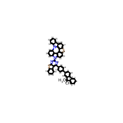 CC1(C)c2ccccc2-c2ccc(-c3ccc(-c4nc(-n5c6ccc7sc8ccc9c%10ccccc%10n%10c%11cccc5c%11c6c7c8c9%10)nc5sc6ccccc6c45)cc3)cc21